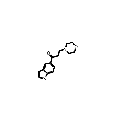 O=C(CCN1CCOCC1)c1ccc2sccc2c1